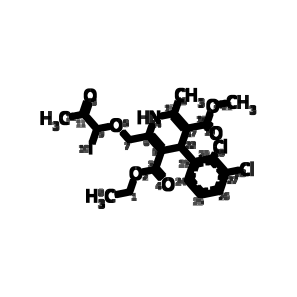 CCOC(=O)C1=C(COC(I)C(C)=O)NC(C)=C(C(=O)OC)C1c1cccc(Cl)c1Cl